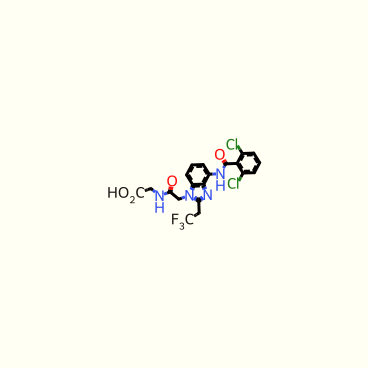 O=C(O)CNC(=O)Cn1c(CC(F)(F)F)nc2c(NC(=O)c3c(Cl)cccc3Cl)cccc21